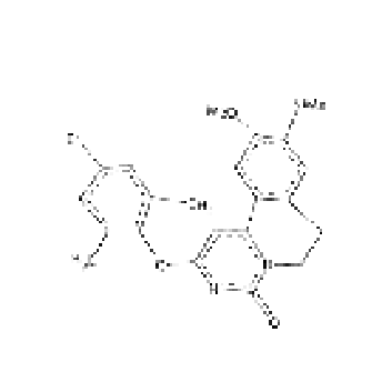 COc1cc2c(cc1OC)-c1cc(Oc3c(C)cc(Br)cc3C)nc(=O)n1CC2